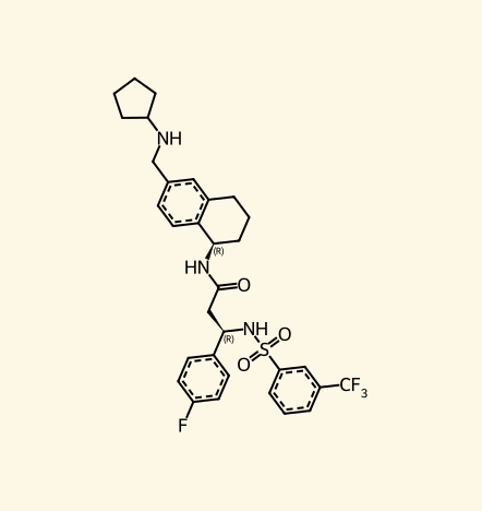 O=C(C[C@@H](NS(=O)(=O)c1cccc(C(F)(F)F)c1)c1ccc(F)cc1)N[C@@H]1CCCc2cc(CNC3CCCC3)ccc21